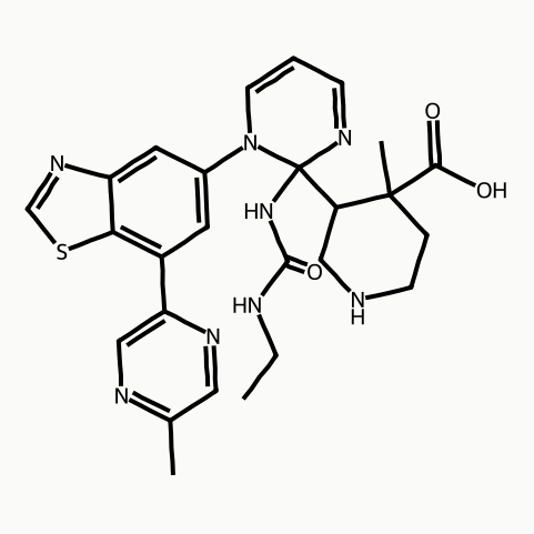 CCNC(=O)NC1(C2CNCCC2(C)C(=O)O)N=CC=CN1c1cc(-c2cnc(C)cn2)c2scnc2c1